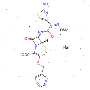 CO/N=C(\C(=O)N[C@@H]1C(=O)N2C(C(=O)[O-])=C(OCc3cccnc3)CS[C@@H]12)c1csc(N)n1.[Na+]